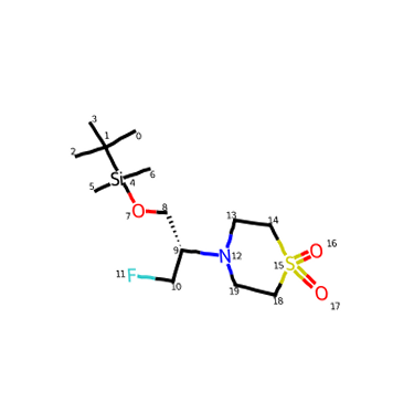 CC(C)(C)[Si](C)(C)OC[C@@H](CF)N1CCS(=O)(=O)CC1